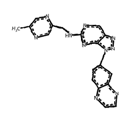 Cc1cnc(CNc2ncc3nnn(-c4ccc5nccnc5c4)c3n2)cn1